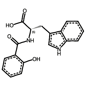 O=C(N[C@@H](Cc1c[nH]c2ccccc12)C(=O)O)c1ccccc1O